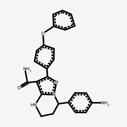 NC(=O)c1c(-c2ccc(Oc3ccccc3)cc2)nn2c1NCCC2c1ccc(N)cc1